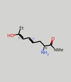 CC/C(O)=C\C=C\C[C@H](N)C(=O)NC